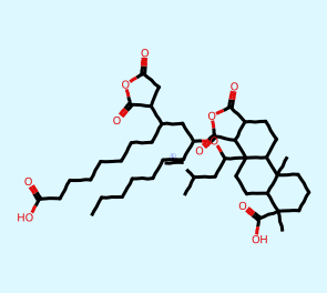 CCCCC/C=C/C(CC(CCCCCCCC(=O)O)C1CC(=O)OC1=O)OC(CC(C)C)C12CCC3C(C)(C(=O)O)CCCC3(C)C1CCC1C(=O)OC(=O)C12